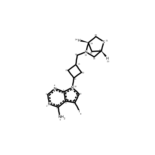 Nc1ncnc2c1c(I)cn2C1CC(CN2C[C@@H]3C[C@H]2CS3)C1